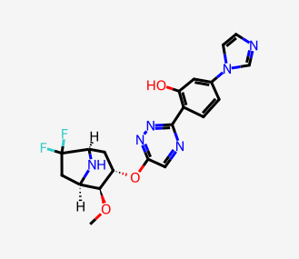 CO[C@@H]1[C@@H](Oc2cnc(-c3ccc(-n4ccnc4)cc3O)nn2)C[C@H]2N[C@@H]1CC2(F)F